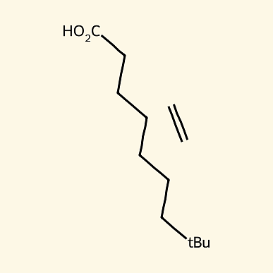 C=C.CC(C)(C)CCCCCCC(=O)O